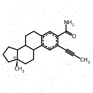 CC#Cc1cc2c(cc1C(N)=O)CCC1C2CC[C@]2(C)CCCC12